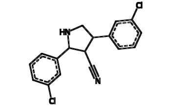 N#CC1C(c2cccc(Cl)c2)CNC1c1cccc(Cl)c1